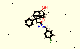 O=C(CC1(c2ccccc2)C2CC3CC1CC(C2)C3O)NCc1ccc(Cl)cc1